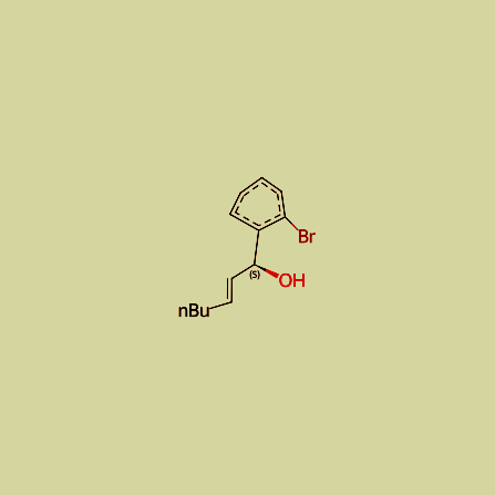 CCCCC=C[C@H](O)c1ccccc1Br